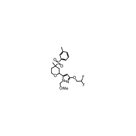 COCn1nc(OCC(F)F)cc1C1CC(C)(S(=O)(=O)c2cccc(C)c2)CCO1